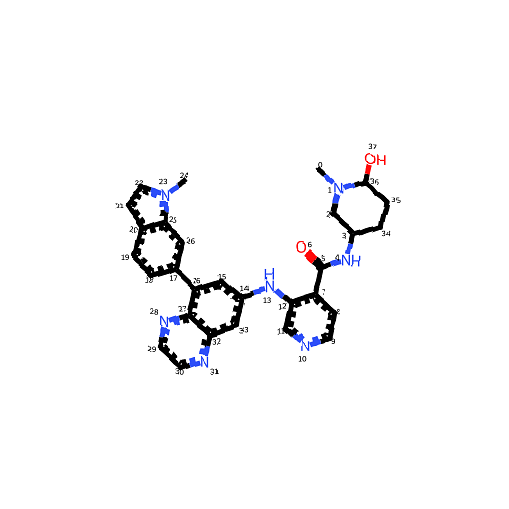 CN1CC(NC(=O)c2ccncc2Nc2cc(-c3ccc4ccn(C)c4c3)c3nccnc3c2)CCC1O